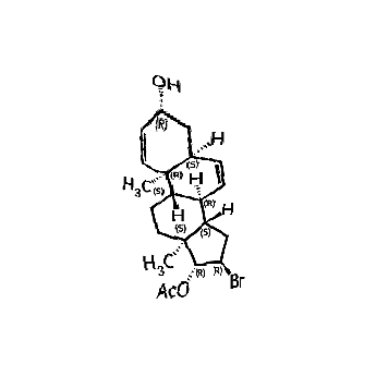 CC(=O)O[C@H]1[C@H](Br)C[C@H]2[C@@H]3C=C[C@@H]4C[C@@H](O)C=C[C@]4(C)[C@H]3CC[C@@]21C